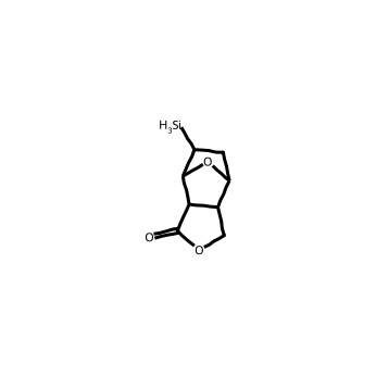 O=C1OCC2C3CC([SiH3])C(O3)C12